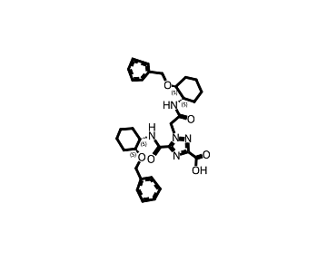 O=C(Cn1nc(C(=O)O)nc1C(=O)N[C@H]1CCCC[C@@H]1OCc1ccccc1)N[C@H]1CCCC[C@@H]1OCc1ccccc1